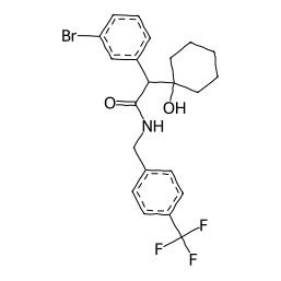 O=C(NCc1ccc(C(F)(F)F)cc1)C(c1cccc(Br)c1)C1(O)CCCCC1